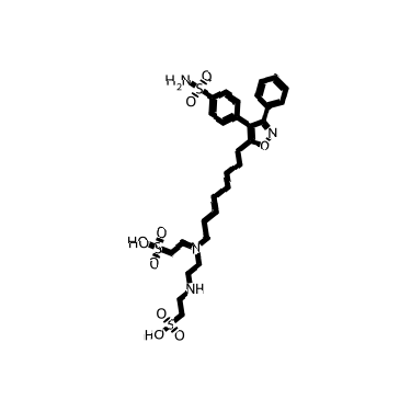 NS(=O)(=O)c1ccc(-c2c(-c3ccccc3)noc2CCCCCCCCN(CCNCCS(=O)(=O)O)CCS(=O)(=O)O)cc1